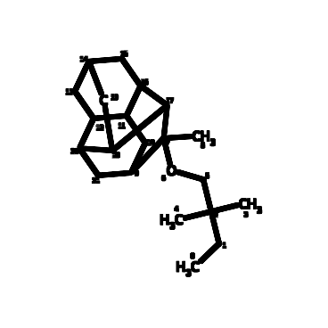 CCC(C)(C)COC1(C)C2CC3C4CC5CC3C1C(C5)C4C2